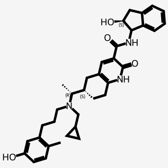 Cc1ccc(O)cc1CCCN(CC1CC1)[C@H](C)[C@H]1CCc2[nH]c(=O)c(C(=O)NC3c4ccccc4C[C@@H]3O)cc2C1